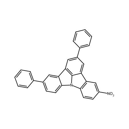 O=[N+]([O-])c1ccc2c(c1)c1cc(-c3ccccc3)cc3c4cc(-c5ccccc5)ccc4n2c31